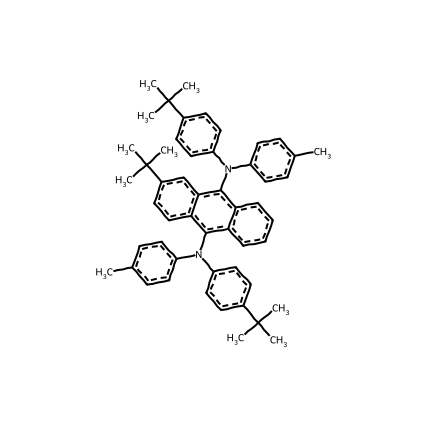 Cc1ccc(N(c2ccc(C(C)(C)C)cc2)c2c3ccccc3c(N(c3ccc(C)cc3)c3ccc(C(C)(C)C)cc3)c3cc(C(C)(C)C)ccc23)cc1